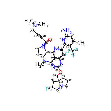 Cc1cc(N)nc(-c2ncc3c(N(C)[C@@H]4CCN(C(=O)C#CCN(C)C)C4)nc(OC[C@@]45CCCN4C[C@H](F)C5)nc3c2F)c1C(F)(F)F